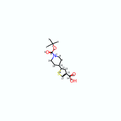 CC(C)(C)OC(=O)N1CCC(C2CC(C(=O)O)=CS2)CC1